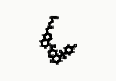 COCCNCc1ccc2c(c1)CCC[C@H]2NC(=O)C[C@@H]1C(=O)NC=CN1S(=O)(=O)c1ccc(Cl)cc1